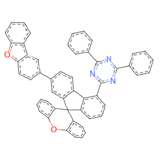 c1ccc(-c2nc(-c3ccccc3)nc(-c3cccc4c3-c3ccc(-c5ccc6oc7ccccc7c6c5)cc3C43c4ccccc4Oc4ccccc43)n2)cc1